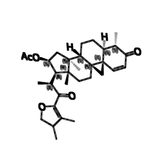 CC(=O)O[C@H]1C[C@@]2(C)[C@@H]3CC[C@H]4[C@H](C)C(=O)C=C[C@@]45C[C@@]35CC[C@]2(C)[C@H]1[C@H](C)C(=O)C1=C(C)C(C)CO1